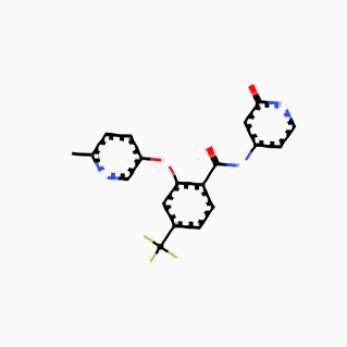 Cc1ccc(Oc2cc(C(F)(F)F)ccc2C(=O)Nc2cc[nH]c(=O)c2)cn1